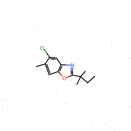 CCC(C)(C)c1nc2cc(Cl)c(C)cc2o1